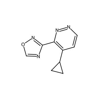 c1cc(C2CC2)c(-c2ncon2)nn1